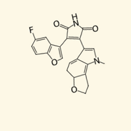 Cn1cc(C2=C(c3coc4ccc(F)cc34)C(=O)NC2=O)c2c1=C1CCOC1CC=2